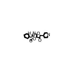 NC1=C(OS(=O)(=O)c2ccccc2)C(=O)C(c2ccncc2)O1